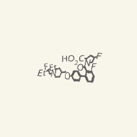 CCC(F)(CC)CN1CCC(COc2ccc(-c3cccc(F)c3C(=O)N3CC(F)CC3C(=O)O)cc2)CC1